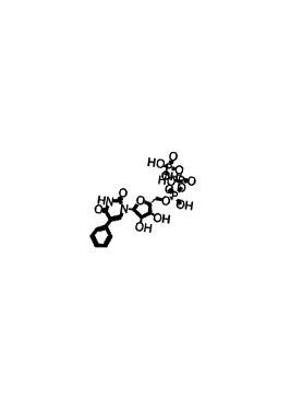 O=c1[nH]c(=O)n([C@@H]2O[C@H](COP(=O)(O)OP(=O)(O)OP(=O)(O)O)[C@@H](O)[C@H]2O)cc1-c1ccccc1